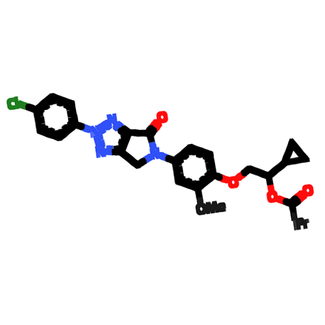 COc1cc(N2Cc3nn(-c4ccc(Cl)cc4)nc3C2=O)ccc1OCC(OC(=O)C(C)C)C1CC1